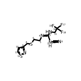 N#CN/C(=N\CCSCc1ccsn1)NCC(F)(F)F